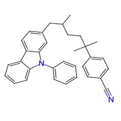 CC(CCC(C)(C)c1ccc(C#N)cc1)Cc1ccc2c3ccccc3n(-c3ccccc3)c2c1